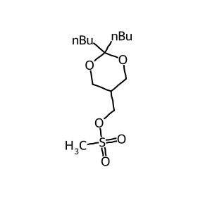 CCCCC1(CCCC)OCC(COS(C)(=O)=O)CO1